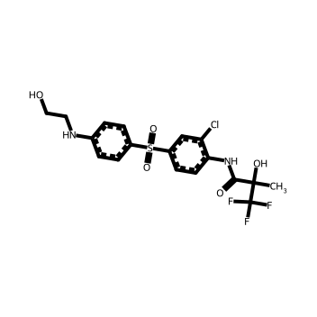 CC(O)(C(=O)Nc1ccc(S(=O)(=O)c2ccc(NCCO)cc2)cc1Cl)C(F)(F)F